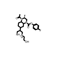 CC(=O)N1C2CCC(C(CN)CNCCO)CC2N(C(=O)Oc2ccc(F)cc2)C[C@@H]1C